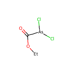 CCOC(=O)[As](Cl)Cl